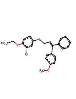 O=C(O)COc1ccc(SC/C=C(/c2ccccc2)c2ccc(OC(F)(F)F)cc2)cc1Cl